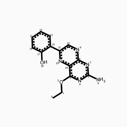 CCOc1nc(N)nc2ncc(-c3ccccc3O)nc12